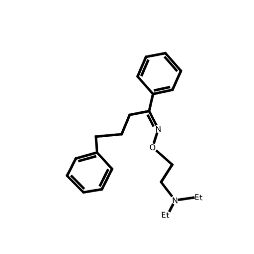 CCN(CC)CCON=C(CCCc1ccccc1)c1ccccc1